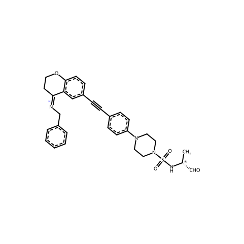 C[C@H](C=O)NS(=O)(=O)N1CCN(c2ccc(C#Cc3ccc4c(c3)/C(=N\Cc3ccccc3)CCO4)cc2)CC1